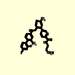 O=C(O)CCNC(=O)c1ccc(-c2cc(C(F)(F)F)ccc2CNc2ccc(-c3ccc(F)cc3F)c(C(F)(F)F)c2)cn1